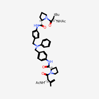 C=C(C)[C@H](NC(C)=O)C(=O)N1CCC[C@H]1C(=O)Nc1ccc(CN(Cc2ccc(NC(=O)[C@@H]3CCCN3C(=O)[C@@H](NC(C)=O)C(C)(C)C)cc2)c2ccccc2)cc1